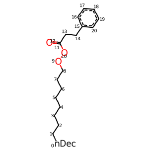 CCCCCCCCCCCCCCCCCCOOC(=O)CCc1ccccc1